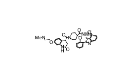 CNCCOc1ccc2c(c1)NC(=O)C[C@@H]2C(=O)N1CCC(Oc2ccccc2-c2nc3cccc(Cl)c3s2)(C(=O)NC)CC1